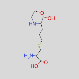 N[C@@H](CSCCCC1NCCOC1O)C(=O)O